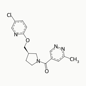 Cc1cc(C(=O)N2CC[C@@H](COc3ccc(Cl)cn3)C2)cnn1